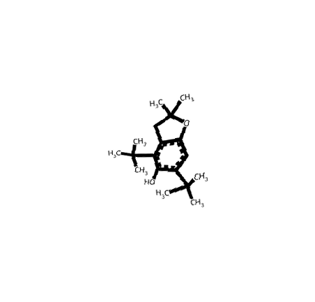 CC1(C)Cc2c(cc(C(C)(C)C)c(O)c2C(C)(C)C)O1